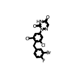 O=c1cnn(-c2cc(Cl)c(Cc3ccc(F)c(Br)c3)c(Cl)c2)c(=O)[nH]1